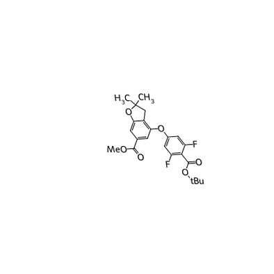 COC(=O)c1cc(Oc2cc(F)c(C(=O)OC(C)(C)C)c(F)c2)c2c(c1)OC(C)(C)C2